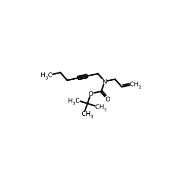 C=CCN(CC#CCCC)C(=O)OC(C)(C)C